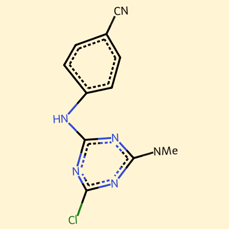 CNc1nc(Cl)nc(Nc2ccc(C#N)cc2)n1